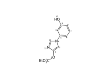 CCOC(=O)Oc1cn(-c2cccc(O)c2)cn1